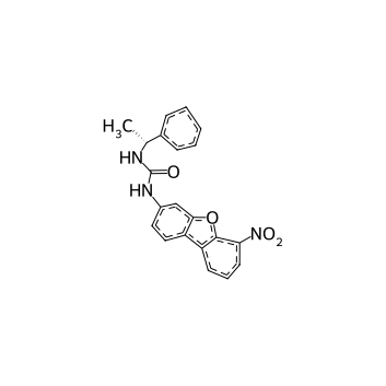 C[C@@H](NC(=O)Nc1ccc2c(c1)oc1c([N+](=O)[O-])cccc12)c1ccccc1